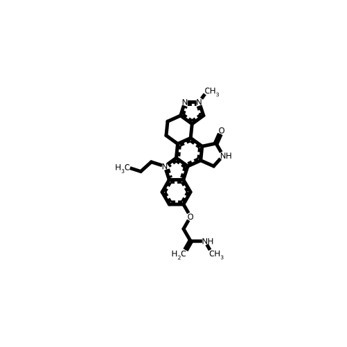 C=C(COc1ccc2c(c1)c1c3c(c4c(c1n2CCC)CCc1nn(C)cc1-4)C(=O)NC3)NC